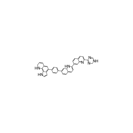 C1=Cc2cc(-c3ccc(C4=CC5NC(c6ccc7ccc(C8=NCNC=N8)nc7c6)=CC=C5C=C4)cc3)c3cc[nH]c3c2NC1